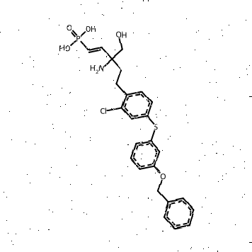 NC(/C=C/P(=O)(O)O)(CO)CCc1ccc(Sc2cccc(OCc3ccccc3)c2)cc1Cl